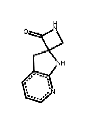 O=C1NCC12Cc1cccnc1N2